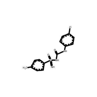 Cc1ccc(S(=N)(=O)NC(=O)Nc2ccc(Cl)cc2)cc1